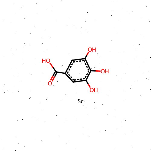 O=C(O)c1cc(O)c(O)c(O)c1.[Sc]